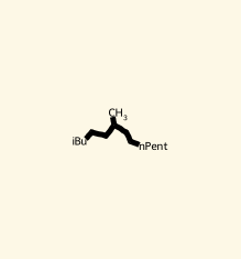 [CH2]CCCCCCC(C)CCC(C)CC